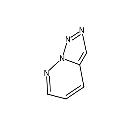 [c]1ccnn2nncc12